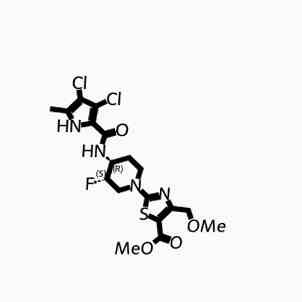 COCc1nc(N2CC[C@@H](NC(=O)c3[nH]c(C)c(Cl)c3Cl)[C@@H](F)C2)sc1C(=O)OC